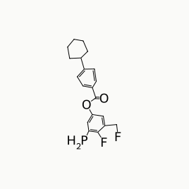 O=C(Oc1cc(P)c(F)c(CF)c1)c1ccc(C2CCCCC2)cc1